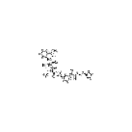 CCN1C(=O)[C@@H](CNc2cccc(C(=O)NCCCN3CCCC3)c2)S/C1=C(/N)C(=O)NCC(C)c1ccccc1